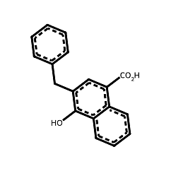 O=C(O)c1cc(Cc2ccccc2)c(O)c2ccccc12